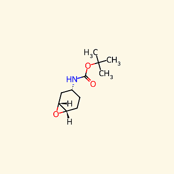 CC(C)(C)OC(=O)N[C@@H]1CC[C@@H]2O[C@@H]2C1